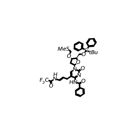 CSCO[C@H]1C[C@H](n2cc(CC=CNC(=O)C(F)(F)F)c(NC(=O)c3ccccc3)nc2=O)O[C@@H]1CO[Si](c1ccccc1)(c1ccccc1)C(C)(C)C